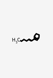 CCCCC=CC1=C2CCC(C1)C2